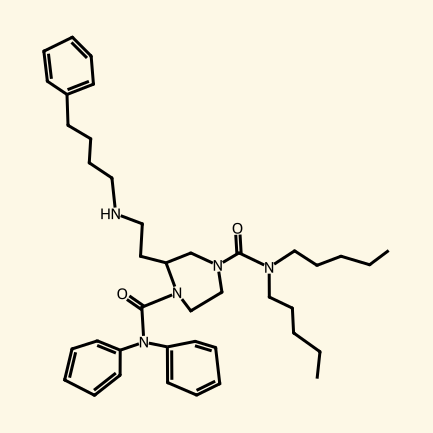 CCCCCN(CCCCC)C(=O)N1CCN(C(=O)N(c2ccccc2)c2ccccc2)C(CCNCCCCc2ccccc2)C1